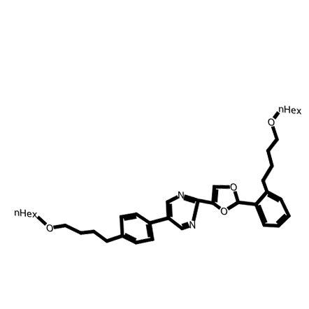 CCCCCCOCCCCc1ccc(-c2cnc(C3=COC(c4ccccc4CCCCOCCCCCC)O3)nc2)cc1